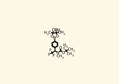 CN(C(=O)OC(C)(C)C)C(c1ccc(B2OC(C)(C)C(C)(C)O2)cc1)C(F)(F)F